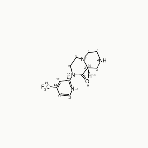 O=C1[C@H]2CNCCN2CCN1c1cc(C(F)(F)F)ccn1